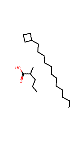 CCCC(C)C(=O)O.CCCCCCCCCCCCC1CCC1